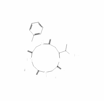 CCCCCCC(C)C1CC(=O)N[C@@H](Cc2ccccc2)C(=O)N[C@@H](C(C)C)C(=O)N[C@@H](C(C)C)C(=O)O1